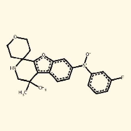 CC1(C)CNC2(CCOCC2)c2oc3cc([S+]([O-])c4cccc(F)c4)ccc3c21